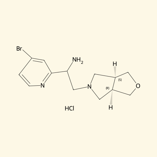 Cl.NC(CN1C[C@H]2COC[C@H]2C1)c1cc(Br)ccn1